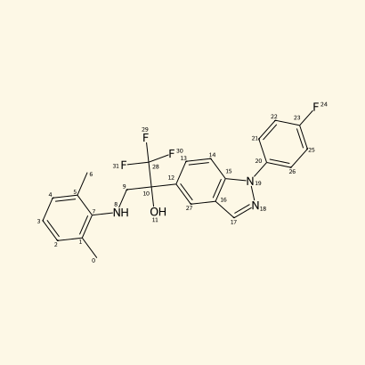 Cc1cccc(C)c1NCC(O)(c1ccc2c(cnn2-c2ccc(F)cc2)c1)C(F)(F)F